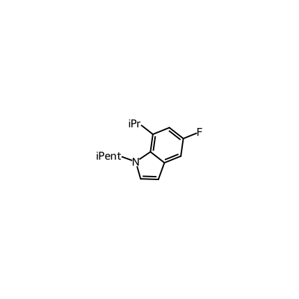 CCCC(C)n1ccc2cc(F)cc(C(C)C)c21